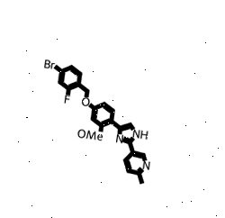 COc1cc(OCc2ccc(Br)cc2F)ccc1-c1c[nH]c(-c2ccc(C)nc2)n1